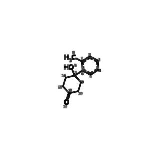 Cc1ccccc1C1(O)CCC(=O)CC1